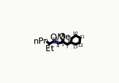 CCCC(CC)/C(=C/C(=O)CC1CCCCC1)OC